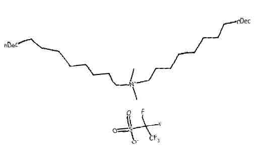 CCCCCCCCCCCCCCCCCC[N+](C)(C)CCCCCCCCCCCCCCCCCC.O=S(=O)([O-])C(F)(F)C(F)(F)F